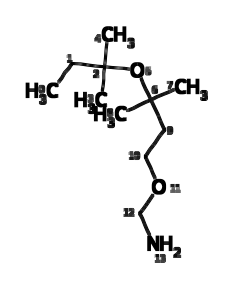 CCC(C)(C)OC(C)(C)CCOCN